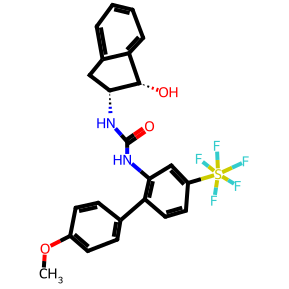 COc1ccc(-c2ccc(S(F)(F)(F)(F)F)cc2NC(=O)N[C@@H]2Cc3ccccc3[C@@H]2O)cc1